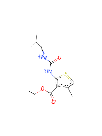 CCOC(=O)c1c(C)csc1NC(=O)NCC(C)C